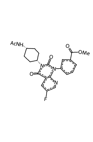 COC(=O)c1cccc(-n2c(=O)n([C@H]3CC[C@@H](NC(C)=O)CC3)c(=O)c3cc(F)cnc32)c1